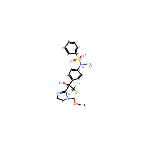 COCN1CCN=C1C(O)(c1ccc(N(C)S(=O)(=O)c2ccccc2)cc1)C(F)(F)F